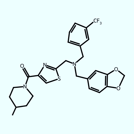 CC1CCN(C(=O)c2csc(CN(Cc3cccc(C(F)(F)F)c3)Cc3ccc4c(c3)OCO4)n2)CC1